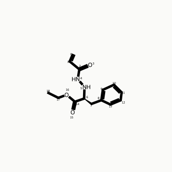 C=CC(=O)NN[C@@H](Cc1ccccc1)C(=O)OCC